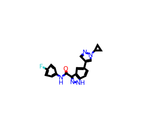 O=C(Nc1ccc(F)cc1)c1n[nH]c2ccc(-c3cnn(C4CC4)c3)cc12